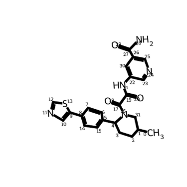 CC1CCC(c2ccc(-c3cncs3)cc2)N(C(=O)C(=O)Nc2cncc(C(N)=O)c2)C1